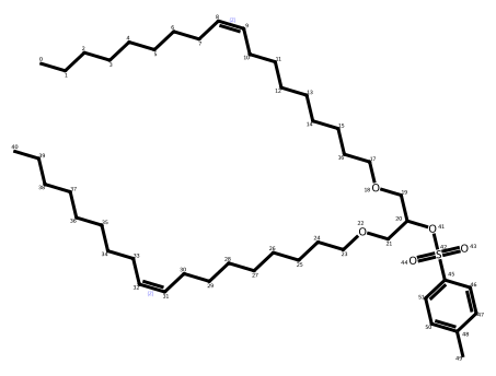 CCCCCCCC/C=C\CCCCCCCCOCC(COCCCCCCCC/C=C\CCCCCCCC)OS(=O)(=O)c1ccc(C)cc1